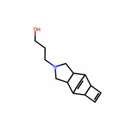 OCCCN1CC2C3C=CC(C4C=CC43)C2C1